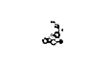 C[C@@H]1Cc2c([nH]c3ccccc23)[C@@H](c2c(F)cc(NC3CN(CCF)C3)cc2F)N1C12CC(C1)C2